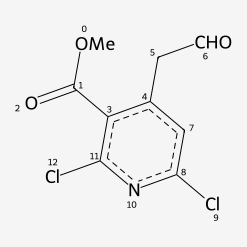 COC(=O)c1c(CC=O)cc(Cl)nc1Cl